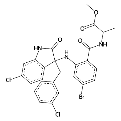 COC(=O)C(C)NC(=O)c1ccc(Br)cc1NC1(Cc2cccc(Cl)c2)C(=O)Nc2cc(Cl)ccc21